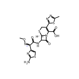 CO/N=C(\C(=O)NC1C(=O)N2C(C(=O)O)=C(c3nnc(C)s3)CS[C@H]12)c1csc(N)n1